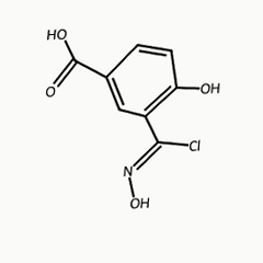 O=C(O)c1ccc(O)c(C(Cl)=NO)c1